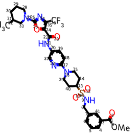 COC(=O)c1cccc(CNS(=O)(=O)C2CCN(c3ccc(NC(=O)c4oc(N5CCCC(C)C5)nc4C(F)(F)F)cn3)CC2)c1